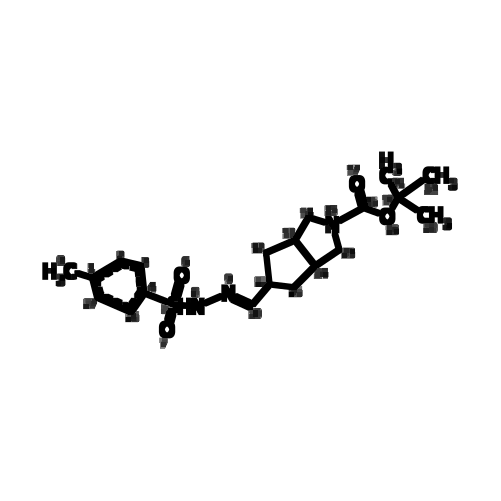 Cc1ccc(S(=O)(=O)N/N=C/C2CC3CN(C(=O)OC(C)(C)C)CC3C2)cc1